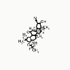 C[C@@H]1C(O)=C(C#N)C[C@]2(C)C3=CC(=O)C4C5CC(C)(C)CC[C@]5(NC(=O)C(C)(F)F)CC[C@@]4(C)[C@]3(C)CC[C@@H]12